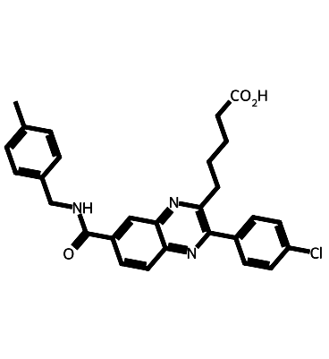 Cc1ccc(CNC(=O)c2ccc3nc(-c4ccc(Cl)cc4)c(CCCCC(=O)O)nc3c2)cc1